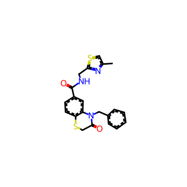 Cc1csc(CNC(=O)c2ccc3c(c2)N(Cc2ccccc2)C(=O)CS3)n1